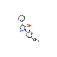 Cc1ccc(-n2ncc(-c3ccccc3)c2O)nc1